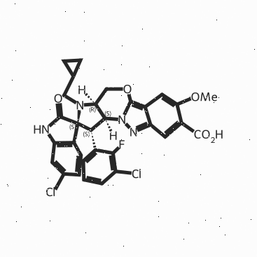 COc1cc2c3n(nc2cc1C(=O)O)[C@@H]1[C@H](CO3)N(CC2CC2)[C@@]2(C(=O)Nc3cc(Cl)ccc32)[C@H]1c1cccc(Cl)c1F